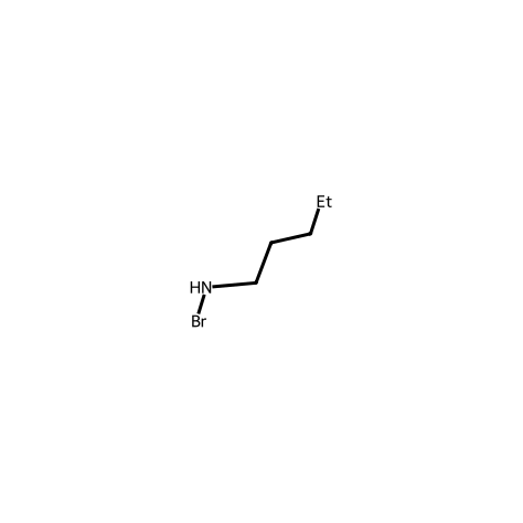 CCCCCNBr